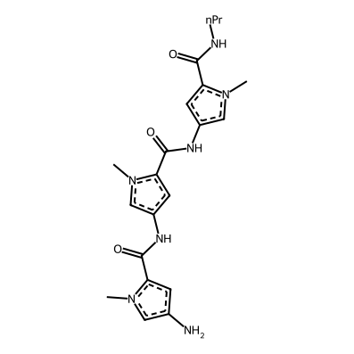 [CH2]CCNC(=O)c1cc(NC(=O)c2cc(NC(=O)c3cc(N)cn3C)cn2C)cn1C